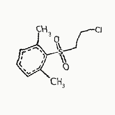 Cc1cccc(C)c1S(=O)(=O)CCCl